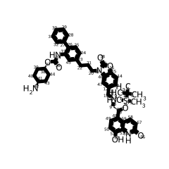 CC(C)(C)[Si](C)(C)O[C@@H](CNCc1ccc2oc(=O)n(CCCc3ccc(-c4ccccc4)c(NC(=O)O[C@H]4CC[C@H](N)CC4)c3)c2c1)c1ccc(O)c2[nH]c(=O)ccc12